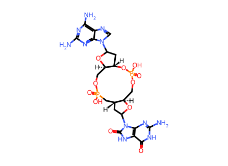 Nc1nc(N)c2ncn(C3C[C@@H]4OP(=O)(O)OC[C@H]5OC(n6c(=O)[nH]c7c(=O)[nH]c(N)nc76)C[C@@H]5CP(=O)(O)OC[C@H]4O3)c2n1